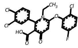 CCn1c(Oc2cc(F)ccc2Cl)cc(=O)c(C(=O)O)c1-c1ccc(Cl)c(Cl)c1